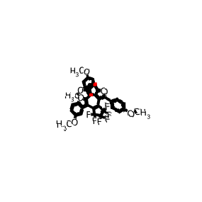 COc1ccc(Cc2oc3ccc(OC)cc3c2C2=C(c3c(-c4ccc(OC)cc4)oc4ccc(OC)cc34)C(F)(F)C(F)(F)C2(F)F)cc1